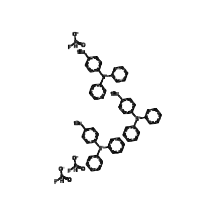 CC(C)(C)c1ccc([S+](c2ccccc2)c2ccccc2)cc1.CC(C)(C)c1ccc([S+](c2ccccc2)c2ccccc2)cc1.CC(C)(C)c1ccc([S+](c2ccccc2)c2ccccc2)cc1.O=[PH]([O-])F.O=[PH]([O-])F.O=[PH]([O-])F